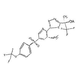 C[C@@](O)(c1nnc(-c2ncc(S(=O)(=O)c3ccc(OC(F)(F)F)cc3)cc2N)s1)C(F)(F)F